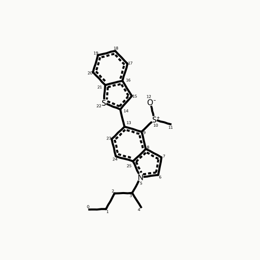 CCCC(C)n1ccc2c([S+](C)[O-])c(-c3cc4ccccc4s3)ccc21